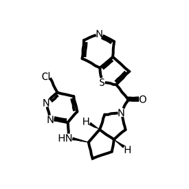 O=C(c1cc2cnccc2s1)N1C[C@@H]2CC[C@@H](Nc3ccc(Cl)nn3)[C@@H]2C1